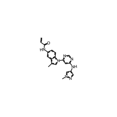 C=CC(=O)Nc1ccc2c(c1)c(C)cn2-c1cc(Nc2cnn(C)c2)ncn1